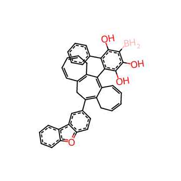 Bc1c(O)c(O)c(C2=C3C=CC=CCC3=C(c3ccc4oc5ccccc5c4c3)CC3=C2CC=CC=C3)c(-c2ccccc2)c1O